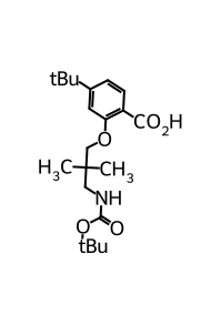 CC(C)(CNC(=O)OC(C)(C)C)COc1cc(C(C)(C)C)ccc1C(=O)O